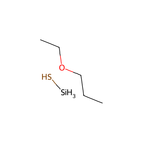 CCCOCC.[SiH3]S